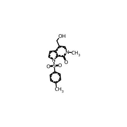 Cc1ccc(S(=O)(=O)n2ccc3c(CO)cn(C)c(=O)c32)cc1